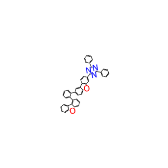 c1ccc(-c2nc(-c3ccccc3)nc(-c3ccc4c(c3)oc3ccc(-c5ccccc5-c5cccc6oc7ccccc7c56)cc34)n2)cc1